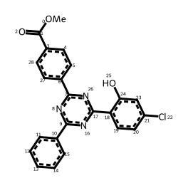 COC(=O)c1ccc(-c2nc(-c3ccccc3)nc(-c3ccc(Cl)cc3O)n2)cc1